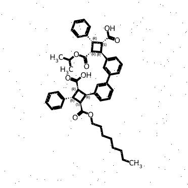 CCCCCCCCOC(=O)[C@H]1[C@H](c2ccccc2)[C@@H](C(=O)O)[C@H]1c1cccc(-c2cccc([C@@H]3[C@@H](C(=O)O)[C@@H](c4ccccc4)[C@H]3C(=O)OC(C)C)c2)c1